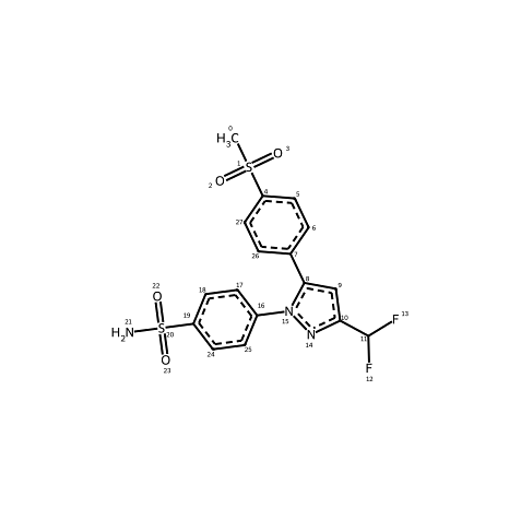 CS(=O)(=O)c1ccc(-c2cc(C(F)F)nn2-c2ccc(S(N)(=O)=O)cc2)cc1